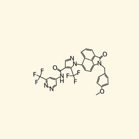 COc1ccc(CN2C(=O)c3cccc4c(-n5ncc(C(=O)Nc6cnnc(C(F)(F)F)c6)c5C(F)(F)F)ccc2c34)cc1